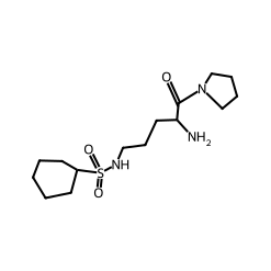 NC(CCCNS(=O)(=O)C1CCCCC1)C(=O)N1CCCC1